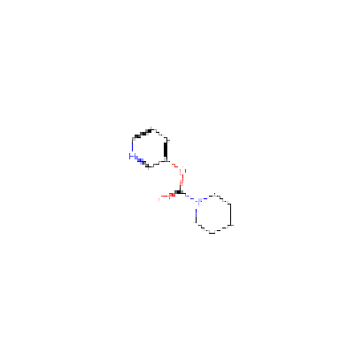 O=C(Oc1cccnc1)N1CC[CH]CC1